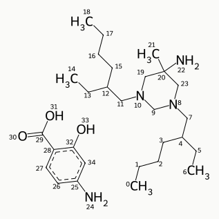 CCCCC(CC)CN1CN(CC(CC)CCCC)CC(C)(N)C1.Nc1ccc(C(=O)O)c(O)c1